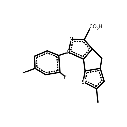 Cc1cc2c(s1)-c1c(c(C(=O)O)nn1-c1ccc(F)cc1F)C2